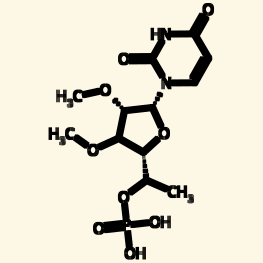 COC1[C@@H](C(C)OP(=O)(O)O)O[C@@H](n2ccc(=O)[nH]c2=O)[C@H]1OC